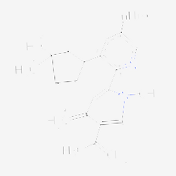 C=C(C)C1=CN(C)C(c2ncc(CCCCCC)cc2C2CCC(C)(C)C2)=CC1=C